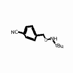 CC(C)(C)NOCc1ccc(C#N)cc1